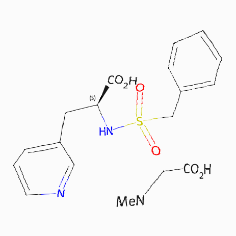 CNCC(=O)O.O=C(O)[C@H](Cc1cccnc1)NS(=O)(=O)Cc1ccccc1